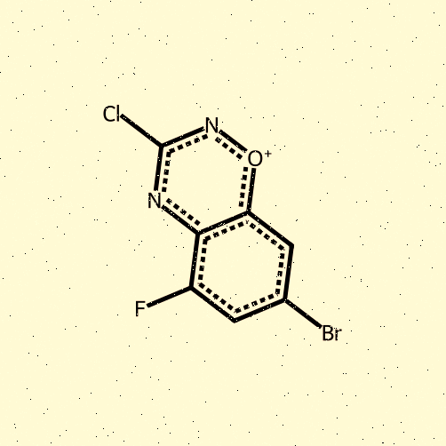 Fc1cc(Br)cc2[o+]nc(Cl)nc12